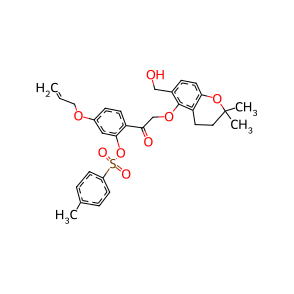 C=CCOc1ccc(C(=O)COc2c(CO)ccc3c2CCC(C)(C)O3)c(OS(=O)(=O)c2ccc(C)cc2)c1